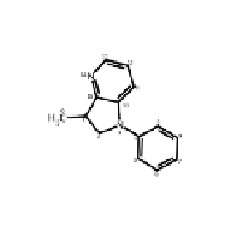 CC1CN(c2ccccc2)c2cccnc21